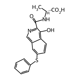 C[C@@H](NC(=O)c1ncc2cc(Sc3ccccc3)ccc2c1O)C(=O)O